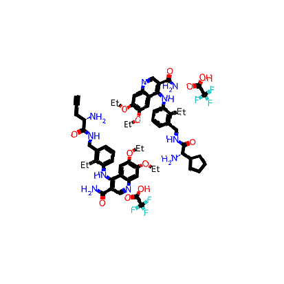 C#CC[C@H](N)C(=O)NCc1cccc(Nc2c(C(N)=O)cnc3cc(OCC)c(OCC)cc23)c1CC.CCOc1cc2ncc(C(N)=O)c(Nc3cccc(CNC(=O)[C@@H](N)C4CCCC4)c3CC)c2cc1OCC.O=C(O)C(F)(F)F.O=C(O)C(F)(F)F